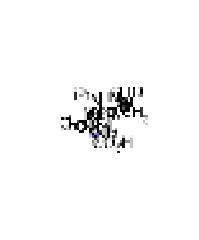 CC(C)CCCC(c1ccnc(-c2c(NC=O)cnn2C)c1)n1cnc(-c2cc(Cl)ccc2N(N)/C=C(\N)C(=O)O)cc1=O